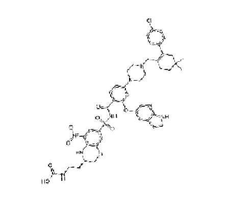 CC1(C)CCC(CN2CCN(c3ccc(C(=O)NS(=O)(=O)c4cc5c(c([N+](=O)[O-])c4)N[C@H](CCNC(=O)O)CO5)c(Oc4cnc5[nH]ccc5c4)c3)CC2)=C(c2ccc(Cl)cc2)C1